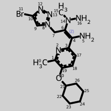 Cc1nc(/C(N)=C(\Cn2cc(Br)nn2)N(C)N)ccc1OC1CCCCC1